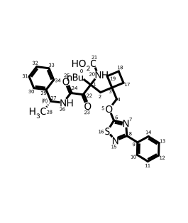 CCCCC(CC1(COc2nc(-c3ccccc3)ns2)CCC1)(NC(=O)O)C(=O)C(=O)N[C@H](C)c1ccccc1